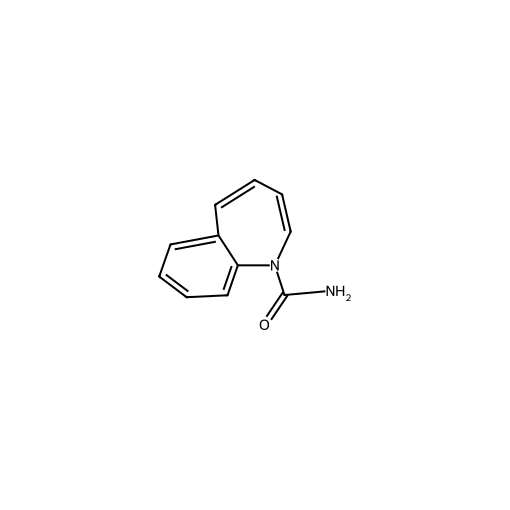 NC(=O)N1C=CC=Cc2ccccc21